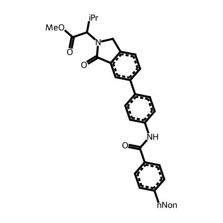 CCCCCCCCCc1ccc(C(=O)Nc2ccc(-c3ccc4c(c3)C(=O)N(C(C(=O)OC)C(C)C)C4)cc2)cc1